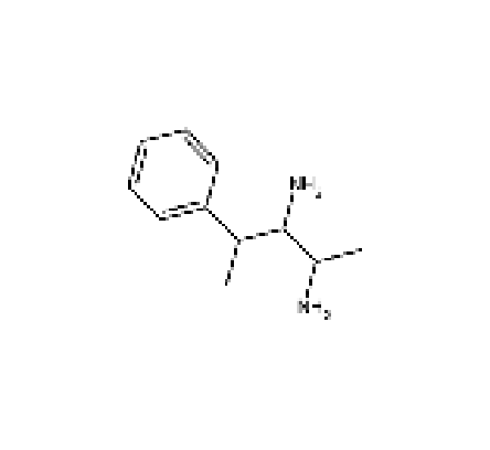 CC(N)C(N)C(C)c1ccccc1